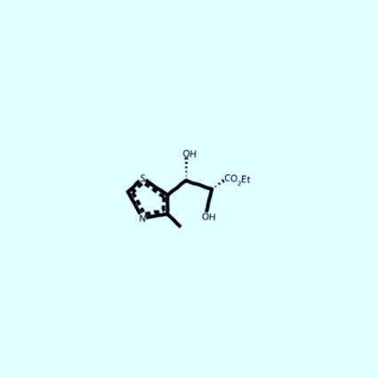 CCOC(=O)[C@H](O)[C@@H](O)c1scnc1C